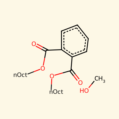 CCCCCCCCOC(=O)c1ccccc1C(=O)OCCCCCCCC.CO